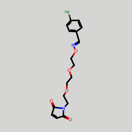 O=C1C=CC(=O)N1CCOCCOCCON=Cc1ccc([18F])cc1